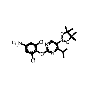 CC(C)c1nc(Oc2c(Cl)cc(N)cc2Cl)ncc1B1OC(C)(C)C(C)(C)O1